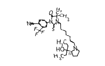 CCC(O)(CC)[C@@H]1CCCN1CCCCCCCN1C(=S)N(c2ccc(C#N)c(C(F)(F)F)c2)C(=O)C1(C)C